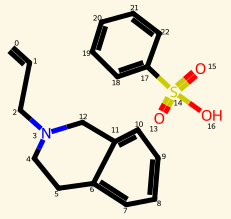 C=CCN1CCc2ccccc2C1.O=S(=O)(O)c1ccccc1